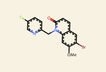 COc1cc2c(ccc(=O)n2Cc2ccc(F)cn2)cc1Br